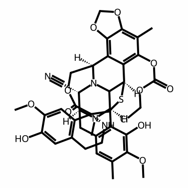 COc1cc2c(cc1O)CCN[C@]21CS[C@@H]2c3c(OC(=O)OCCl)c(C)c4c(c3[C@H](COC1=O)N1C2[C@H]2c3c(cc(C)c(OC)c3O)C[C@@H]([C@@H]1C#N)N2C)OCO4